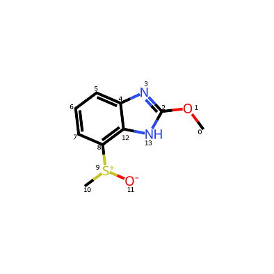 COc1nc2cccc([S+](C)[O-])c2[nH]1